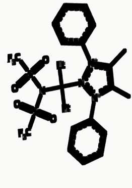 CCC(CC)(N(S(=O)(=O)C(F)(F)F)S(=O)(=O)C(F)(F)F)n1[n+](-c2ccccc2)c(C)c(C)[n+]1-c1ccccc1